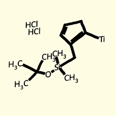 CC(C)(C)O[Si](C)(C)CC1=[C]([Ti])CC=C1.Cl.Cl